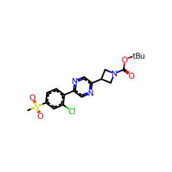 CC(C)(C)OC(=O)N1CC(c2cnc(-c3ccc(S(C)(=O)=O)cc3Cl)cn2)C1